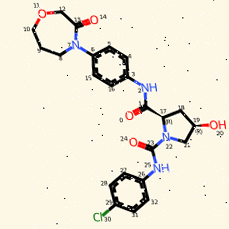 O=C(Nc1ccc(N2CCCOCC2=O)cc1)[C@H]1C[C@@H](O)CN1C(=O)Nc1ccc(Cl)cc1